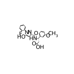 COc1cccc([C@H](CC(=O)O)NC(=O)c2cc(O)n(-c3ccccc3F)n2)c1